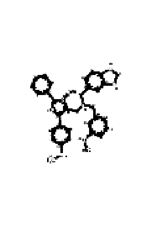 CCCCn1c(-c2ccccc2)nc(-c2ccc(OC(F)(F)F)cc2)c1CN(Cc1cccc(OCC)c1)Cc1ccc2c(c1)OCO2